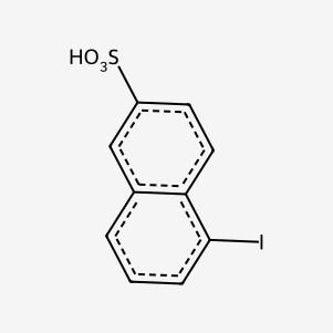 O=S(=O)(O)c1ccc2c(I)cccc2c1